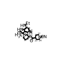 CCNc1cc(F)cc2c1NC(=O)C2(C)N1CCC[C@@H](NC(=O)C2CCN(C#N)CC2)C1